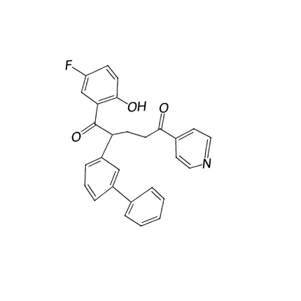 O=C(CCC(C(=O)c1cc(F)ccc1O)c1cccc(-c2ccccc2)c1)c1ccncc1